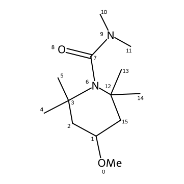 COC1CC(C)(C)N(C(=O)N(C)C)C(C)(C)C1